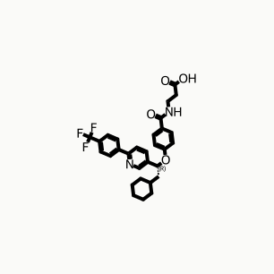 O=C(O)CCNC(=O)c1ccc(O[C@H](CC2CCCCC2)c2ccc(-c3ccc(C(F)(F)F)cc3)nc2)cc1